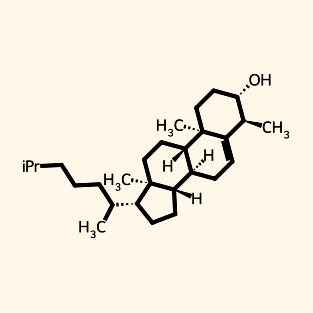 CC(C)CCCC(C)[C@H]1CC[C@H]2[C@@H]3CC=C4[C@H](C)[C@@H](O)CC[C@]4(C)[C@H]3CC[C@]12C